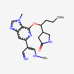 COCCC(Oc1nc(/C(C=N)=C/NC(C)(C)C)cc2ncn(C)c12)C1CNC(=O)C1